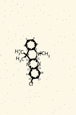 CN1c2ccccc2C(C)(C)c2nc3cc(Cl)ccc3nc21